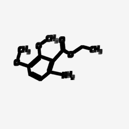 CCOC(=O)c1c(N)ccc(OC)c1OC